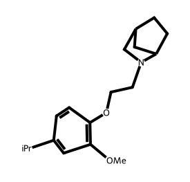 COc1cc(C(C)C)ccc1OCCN1CC2CCC1C2